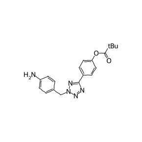 CC(C)(C)C(=O)Oc1ccc(-c2nnn(Cc3ccc(N)cc3)n2)cc1